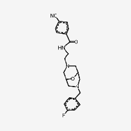 N#Cc1ccc(C(=O)NCCN2CC3CN(Cc4ccc(F)cc4)CC(C2)O3)cc1